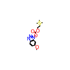 COc1ccc2nnn(OC(=O)OCCS(C)(C)C)c2c1